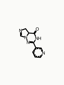 O=C1NC(c2cccnc2)=NN2C=NCC12